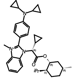 CC(C)[C@@H]1CC[C@@H](C)C[C@H]1OC(=O)[C@@H](C1CC1)n1c(-c2ccc(N(C3CC3)C3CC3)cc2)[n+](C)c2ccccc21